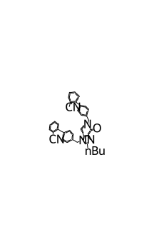 CCCCc1nc2c(=O)n(Cc3ccc(-c4ccccc4C#N)cc3)ccc2n1Cc1ccc(-c2ccccc2C#N)cc1